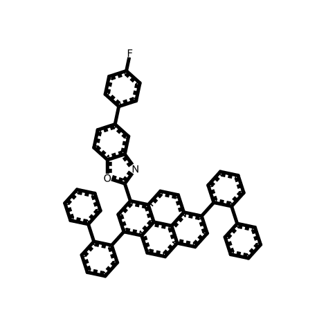 Fc1ccc(-c2ccc3oc(-c4cc(-c5ccccc5-c5ccccc5)c5ccc6ccc(-c7ccccc7-c7ccccc7)c7ccc4c5c67)nc3c2)cc1